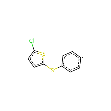 Clc1ccc(Sc2cc[c]cc2)s1